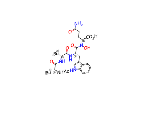 CC[C@H](C)[C@H](NC(C)=O)C(=O)N[C@H](C(=O)N[C@@H](Cc1c[nH]c2ccccc12)C(=O)N(O)[C@@H](CCC(N)=O)C(=O)O)[C@@H](C)CC